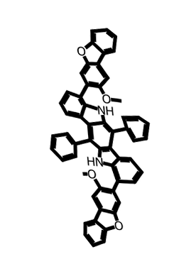 COc1cc2c(cc1-c1cccc3c1[nH]c1c(-c4ccccc4)c4c([nH]c5c(-c6cc7oc8ccccc8c7cc6OC)cccc54)c(-c4ccccc4)c13)oc1ccccc12